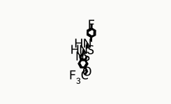 Fc1ccc(CNC(=S)Nc2nc3ccc(OC(F)(F)F)cc3s2)cc1